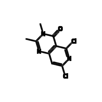 Cc1nc2cc(Cl)nc(Cl)c2c(=O)n1C